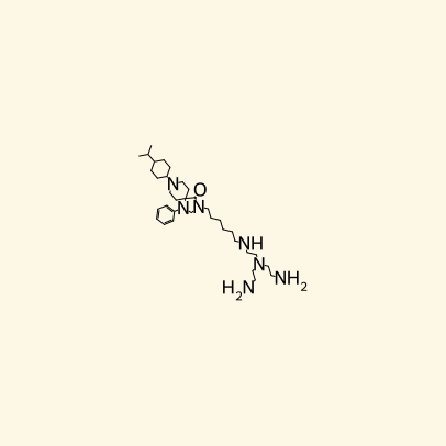 CC(C)C1CCC(N2CCC3(CC2)C(=O)N(CCCCCCNCCN(CCN)CCN)CN3c2ccccc2)CC1